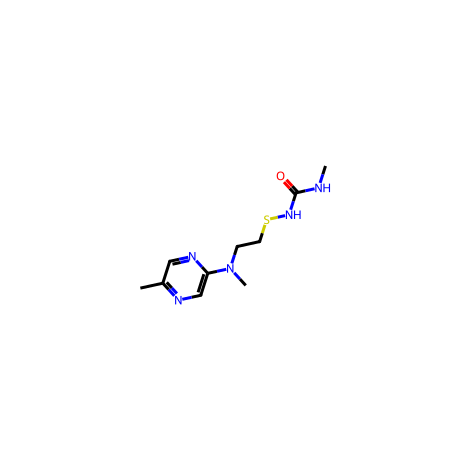 CNC(=O)NSCCN(C)c1cnc(C)cn1